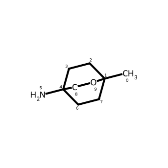 CC12CCC(N)(CC1)CO2